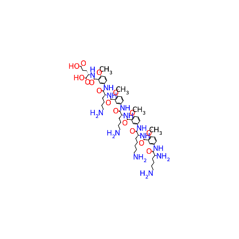 COc1ccc(NC(=O)[C@H](CCCCN)NC(=O)c2cc(NC(=O)[C@H](CCCCN)NC(=O)c3cc(NC(=O)[C@H](CCCCCN)NC(=O)c4cc(NC(=O)[C@@H](N)CCCCN)ccc4OC)ccc3OC)ccc2OC)cc1C(=O)N[C@@H](CCC(=O)O)C(=O)O